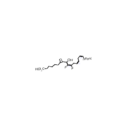 CCCCC/C=C\C/C=C\C/C(F)=C(/F)C(O)C1OC1CCCCCC(=O)O